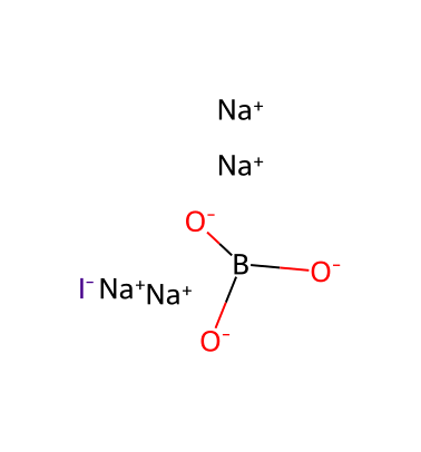 [I-].[Na+].[Na+].[Na+].[Na+].[O-]B([O-])[O-]